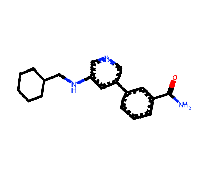 NC(=O)c1cccc(-c2cncc(NCC3CCCCC3)c2)c1